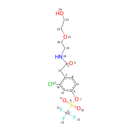 O=C(Cc1ccc(OS(=O)(=O)C(F)(F)F)cc1Cl)NCCOCCO